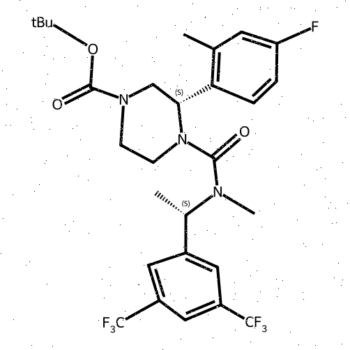 Cc1cc(F)ccc1[C@H]1CN(C(=O)OC(C)(C)C)CCN1C(=O)N(C)[C@@H](C)c1cc(C(F)(F)F)cc(C(F)(F)F)c1